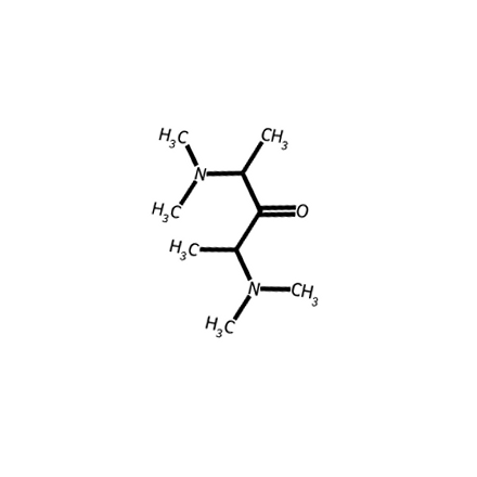 CC(C(=O)C(C)N(C)C)N(C)C